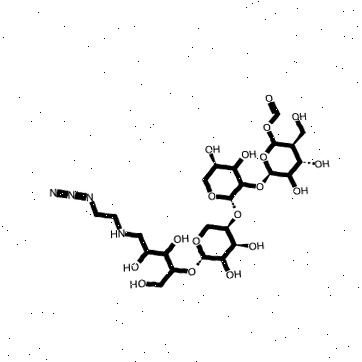 [N-]=[N+]=NCCNCC(O)C(O)C(CO)O[C@@H]1OC[C@@H](O[C@@H]2OC[C@@H](O)C(O)C2O[C@H]2OC(OC=O)[C@@H](CO)[C@H](O)C2O)[C@@H](O)C1O